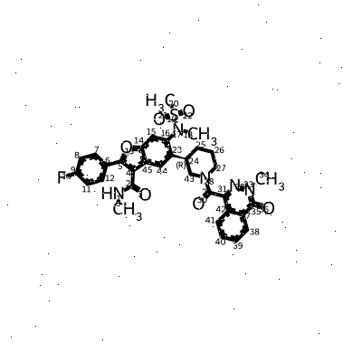 CNC(=O)c1c(-c2ccc(F)cc2)oc2cc(N(C)S(C)(=O)=O)c([C@H]3CCCN(C(=O)c4nn(C)c(=O)c5ccccc45)C3)cc12